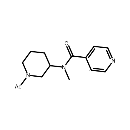 CC(=O)N1CCCC(N(C)C(=O)c2[c]cncc2)C1